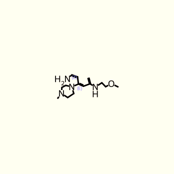 C=C(/C=C(\C=C/N)N1CCN(C)CC1)NCCOC